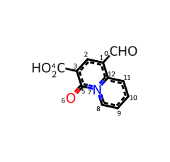 O=Cc1cc(C(=O)O)c(=O)n2ccccc12